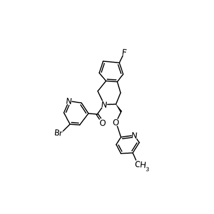 Cc1ccc(OC[C@@H]2Cc3cc(F)ccc3CN2C(=O)c2cncc(Br)c2)nc1